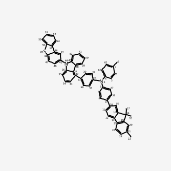 Cc1ccc(N(c2ccc(-c3ccc4c(c3)C(C)(C)c3cc(C)ccc3-4)cc2)c2ccc(-c3cccc4c3c3ccccc3n4-c3ccc4sc5ccccc5c4c3)cc2)cc1